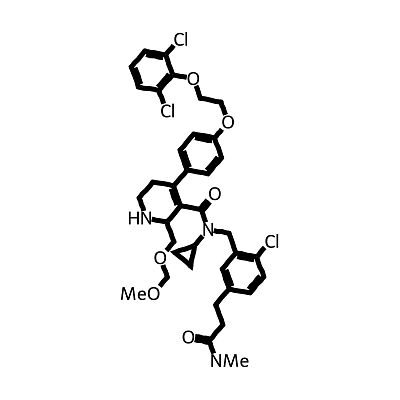 CNC(=O)CCc1ccc(Cl)c(CN(C(=O)C2=C(c3ccc(OCCOc4c(Cl)cccc4Cl)cc3)CCNC2COCOC)C2CC2)c1